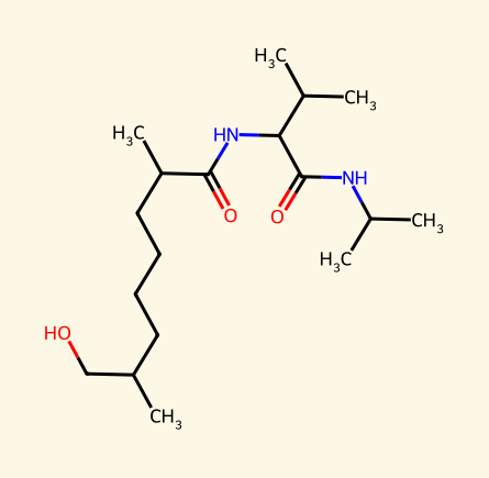 CC(CO)CCCCC(C)C(=O)NC(C(=O)NC(C)C)C(C)C